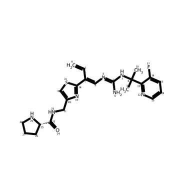 C=C/C(=C\N=C(/N)NC(C)(C)c1ncccc1F)c1nc(CNC(=O)[C@@H]2CCCN2)cs1